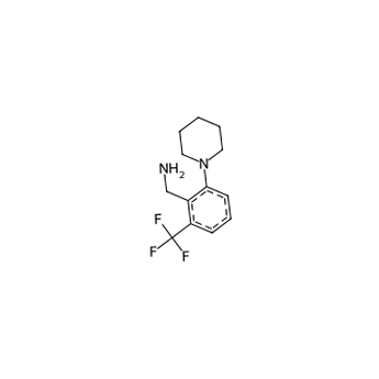 NCc1c(N2CCCCC2)cccc1C(F)(F)F